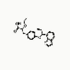 C=CC(Oc1ccc(C[C@H](OCC)C(=O)O)cc1)c1cccc2ccoc12